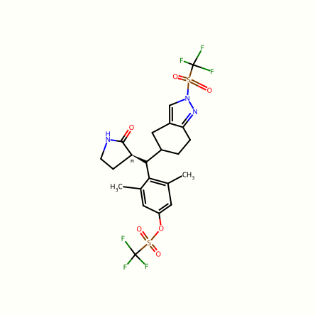 Cc1cc(OS(=O)(=O)C(F)(F)F)cc(C)c1C(C1CCc2nn(S(=O)(=O)C(F)(F)F)cc2C1)[C@H]1CCNC1=O